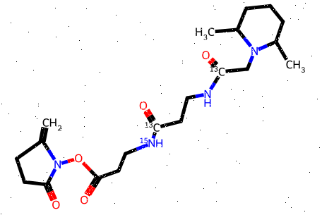 C=C1CCC(=O)N1OC(=O)CC[15NH][13C](=O)CCN[13C](=O)CN1C(C)CCCC1C